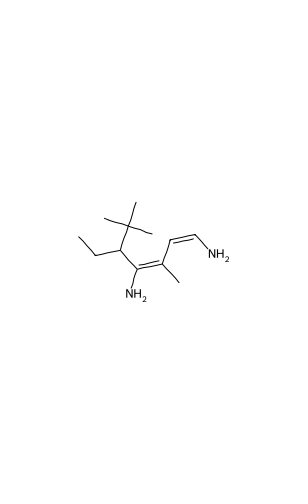 CCC(/C(N)=C(C)\C=C/N)C(C)(C)C